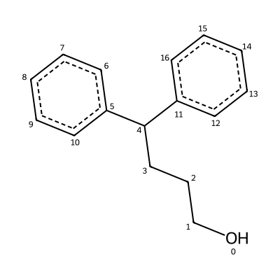 OCCCC(c1ccccc1)c1ccccc1